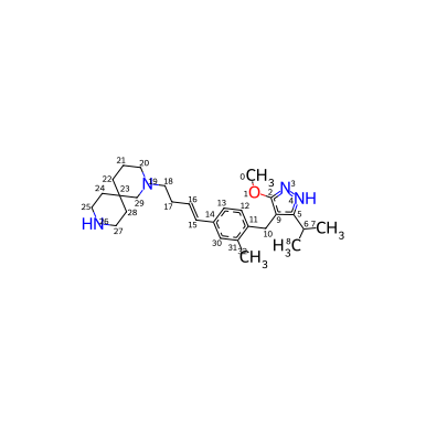 COc1n[nH]c(C(C)C)c1Cc1ccc(/C=C/CCN2CCCC3(CCNCC3)C2)cc1C